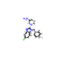 N#Cc1ccc(Cn2c(N3CCC[C@H](N)C3)nc3cc(Cl)ccc32)cc1